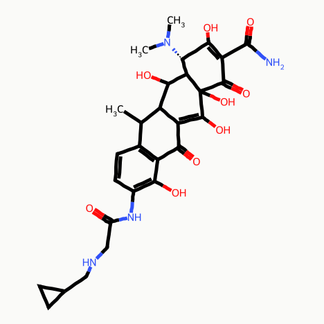 CC1c2ccc(NC(=O)CNCC3CC3)c(O)c2C(=O)C2=C(O)C3(O)C(=O)C(C(N)=O)=C(O)[C@@H](N(C)C)C3C(O)C21